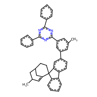 Cc1cc(-c2ccc3c(c2)C2(CCC4CC2=CC(C)C4)c2ccccc2-3)cc(-c2nc(-c3ccccc3)nc(-c3ccccc3)n2)c1